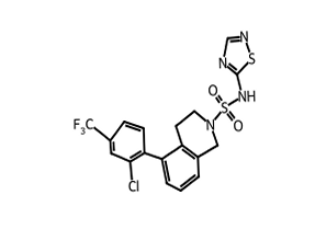 O=S(=O)(Nc1ncns1)N1CCc2c(cccc2-c2ccc(C(F)(F)F)cc2Cl)C1